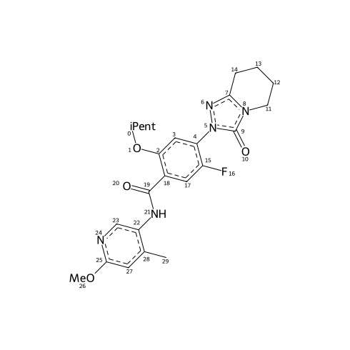 CCCC(C)Oc1cc(-n2nc3n(c2=O)CCCC3)c(F)cc1C(=O)Nc1cnc(OC)cc1C